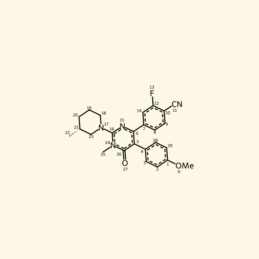 COc1ccc(-c2c(-c3ccc(C#N)c(F)c3)nc(N3CCC[C@@H](C)C3)n(C)c2=O)cc1